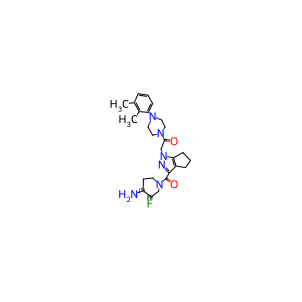 Cc1cccc(N2CCN(C(=O)Cn3nc(C(=O)N4CC[C@H](N)[C@H](F)C4)c4c3CCC4)CC2)c1C